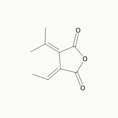 CC=C1C(=O)OC(=O)C1=C(C)C